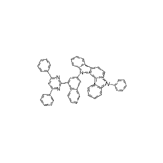 c1ccc(-c2cc(-c3ccccc3)nc(-c3cc(-n4c5ccccc5c5ccc6c(c7ccccc7n6-c6ccccc6)c54)cc4ccccc34)n2)cc1